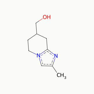 Cc1cn2c(n1)CC(CO)CC2